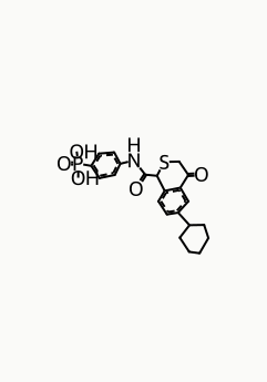 O=C1CSC(C(=O)Nc2ccc(P(=O)(O)O)cc2)c2ccc(C3CCCCC3)cc21